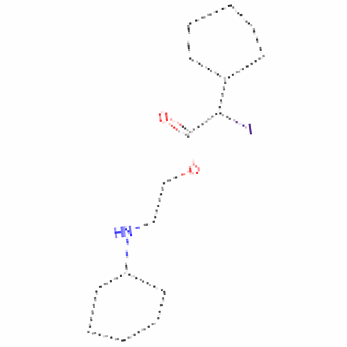 O=C(OCCNC1CCCCC1)C(I)C1CCCCC1